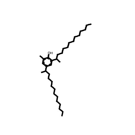 CCCCCCCCCCCCC(C)c1cc(C)c(O)c(C(C)CCCCCCCCCCCC)c1